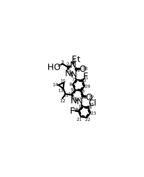 CCn1c(CO)nn(-c2cc3c(C(C)C4CC4)nn(-c4c(F)cccc4Cl)c(=O)c3cc2F)c1=O